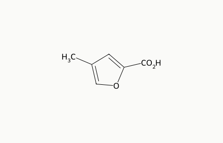 Cc1coc(C(=O)O)c1